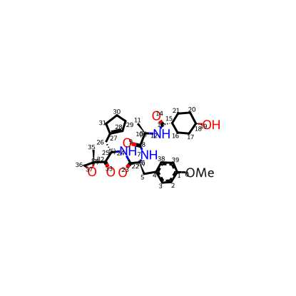 COc1ccc(C[C@H](NC(=O)[C@@H](C)NC(=O)[C@H]2CC[C@H](O)CC2)C(=O)N[C@@H](CC2=CCCC2)C(=O)[C@@]2(C)CO2)cc1